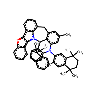 Cc1cc2c3c(c1)N(c1cc4c(cc1C)C(C)(C)CCC4(C)C)c1ccc4c(c1B3n1c3c(cccc3c3oc5ccccc5c31)C2)C(C)(C)c1ccccc1-4